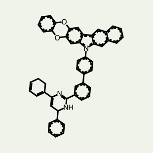 C1=CCCC(C2=CC(c3ccccc3)NC(c3cccc(-c4ccc(-n5c6cc7c(cc6c6cc8ccccc8cc65)Oc5ccccc5O7)cc4)c3)=N2)=C1